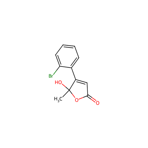 CC1(O)OC(=O)C=C1c1ccccc1Br